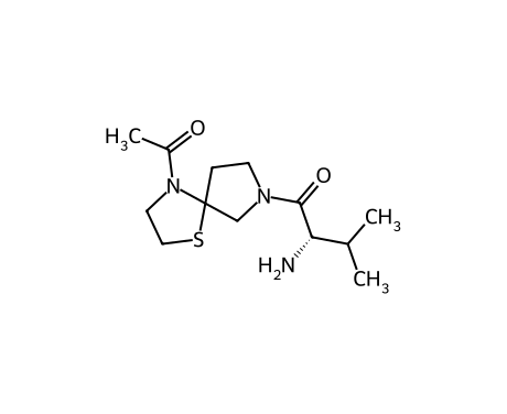 CC(=O)N1CCSC12CCN(C(=O)[C@@H](N)C(C)C)C2